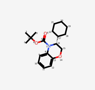 CC(C)(C)OC(=O)N1c2ccccc2OC[C@H]1C1CCCCC1